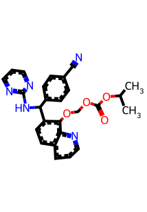 CC(C)OC(=O)OCOc1c(C(Nc2ncccn2)c2ccc(C#N)cc2)ccc2cccnc12